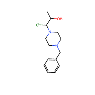 CC(O)C(Cl)N1CCN(Cc2ccccc2)CC1